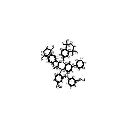 CC(C)(C)c1cccc(N2c3cc(C(C)(C)C)ccc3B3c4sc5cc6c(cc5c4N(c4ccc5c(c4)C(C)(C)CCC5(C)C)c4cc(-c5ccccc5)cc2c43)C2(C)CCC6(C)CC2)c1